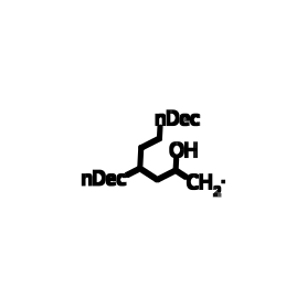 [CH2]C(O)CC(CCCCCCCCCC)CCCCCCCCCCCC